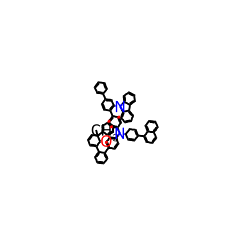 CC12C=CC=C(c3ccccc3-c3ccc(N(c4ccc(-c5ccc(-c6ccccc6)cc5-n5c6ccccc6c6ccccc65)cc4)C4C=CC(c5cccc6ccccc56)=CC4)cc3)C1Oc1ccccc12